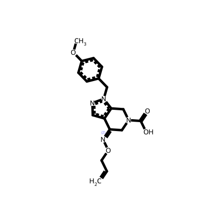 C=CCO/N=C1\CN(C(=O)O)Cc2c1cnn2Cc1ccc(OC)cc1